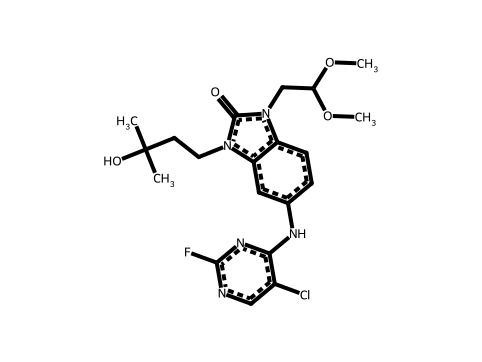 COC(Cn1c(=O)n(CCC(C)(C)O)c2cc(Nc3nc(F)ncc3Cl)ccc21)OC